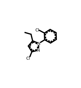 CCc1cc(Cl)nn1-c1ccccc1Cl